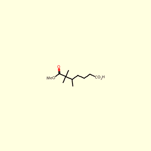 COC(=O)C(C)(C)C(C)CCCC(=O)O